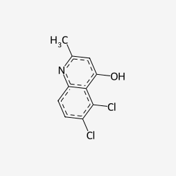 Cc1cc(O)c2c(Cl)c(Cl)ccc2n1